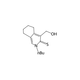 CCCCn1cc2c(c(CO)c1=S)CCCC2